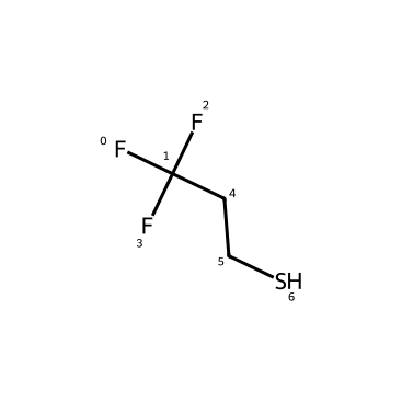 FC(F)(F)CCS